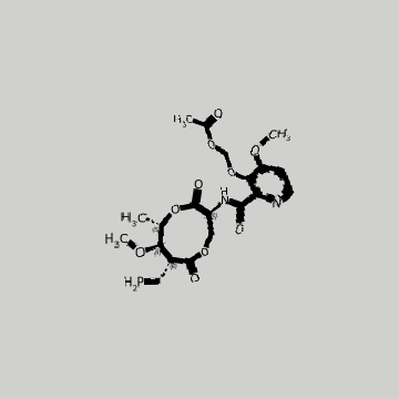 COc1ccnc(C(=O)N[C@H]2COC(=O)[C@H](CP)[C@@H](OC)[C@H](C)OC2=O)c1OCOC(C)=O